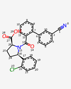 N#Cc1cccc(-c2ccccc2C(=O)N2[C@@H](c3ccccc3Cl)CC[C@H]2C(=O)O)c1